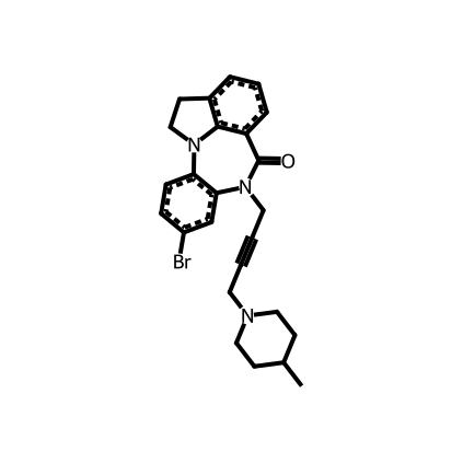 CC1CCN(CC#CCN2C(=O)c3cccc4c3N(CC4)c3ccc(Br)cc32)CC1